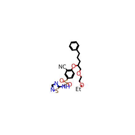 CCOCCOCC(CCCc1ccccc1)Oc1ccc(S(=O)(=O)Nc2ncns2)cc1C#N